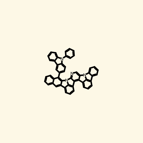 c1ccc(-n2c3ccccc3c3cc(-c4c5ccccc5cc5c6cccc7c8c9c%10cccc%11c%12ccccc%12n(c9cnc8n(c45)c67)c%11%10)ccc32)cc1